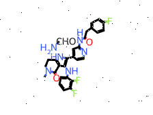 CN1CCc2[nH]c(-c3ccnc(NC(=O)Cc4ccc(F)cc4)c3)c(Nc3cccc(F)c3F)c2C1=O.NC=O